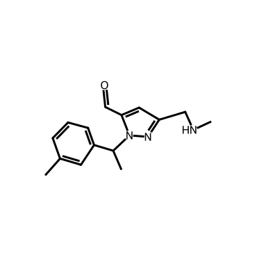 CNCc1cc(C=O)n(C(C)c2cccc(C)c2)n1